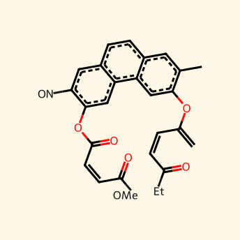 C=C(/C=C\C(=O)CC)Oc1cc2c(ccc3cc(N=O)c(OC(=O)/C=C\C(=O)OC)cc32)cc1C